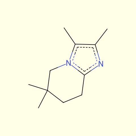 Cc1nc2n(c1C)CC(C)(C)CC2